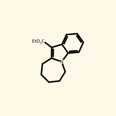 CCOC(=O)c1c2n(c3ccccc13)CCCCC2